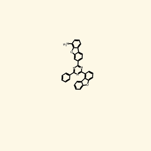 Nc1cccc2c1oc1cc(-c3nc(-c4ccccc4)nc(-c4cccc5oc6ccccc6c45)n3)ccc12